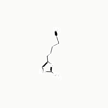 C#CCCCCc1c[nH]c(N)n1